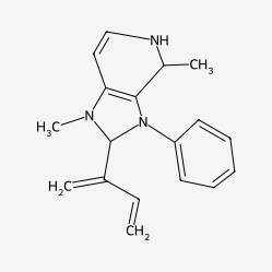 C=CC(=C)C1N(C)C2=C(C(C)NC=C2)N1c1ccccc1